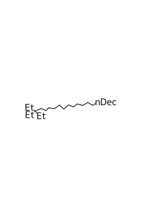 CCCCCCCCCCCCCCCCCCCCCCC(CC)(CC)CC